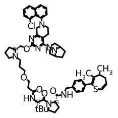 CC1=C(c2ccc(CNC(=O)[C@@H]3CCCN3C(=O)[C@@H](NC(=O)CCOCCCN3CCC[C@H]3COc3nc4c(c(N5CC6CCC(C5)N6)n3)CCN(c3cccc5cccc(Cl)c35)C4)C(C)(C)C)cc2)SC=CCC1C